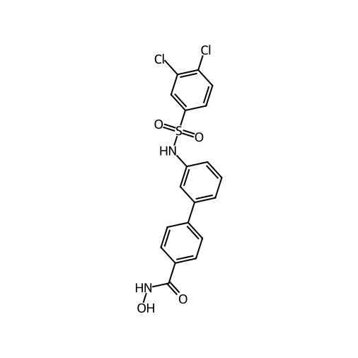 O=C(NO)c1ccc(-c2cccc(NS(=O)(=O)c3ccc(Cl)c(Cl)c3)c2)cc1